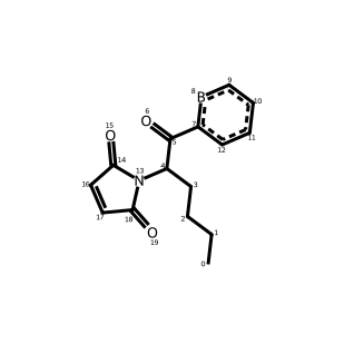 CCCCC(C(=O)c1bcccc1)N1C(=O)C=CC1=O